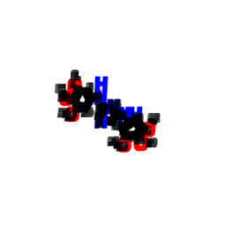 COc1cc(Nc2cncc(Nc3cc(OC)c(OC)c(OC)c3)n2)cc(OC)c1OC